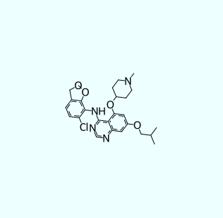 CC(C)COc1cc(OC2CCN(C)CC2)c2c(Nc3c(Cl)ccc4c3OOC4)ncnc2c1